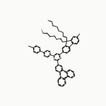 CCCCCCCCC1(CCCCCCCC)c2cc(C)ccc2-c2ccc(-c3cc(-c4ccc(-c5ccc(C)cc5)cc4)nc(-c4ccc5c6ccccc6c6ccccc6c5c4)n3)cc21